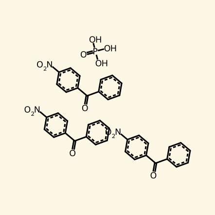 O=C(c1ccccc1)c1ccc([N+](=O)[O-])cc1.O=C(c1ccccc1)c1ccc([N+](=O)[O-])cc1.O=C(c1ccccc1)c1ccc([N+](=O)[O-])cc1.O=P(O)(O)O